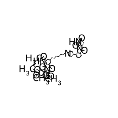 CCOc1cc([C@@H](CS(C)(=O)=O)N2C(=O)c3cc(CCCCCCCN4CCC(c5cccc6c5CN(C5CCC(=O)NC5=O)C6=O)CC4)cc(NC(C)=O)c3C2=O)ccc1OC